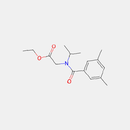 CCOC(=O)CN(C(=O)c1cc(C)cc(C)c1)C(C)C